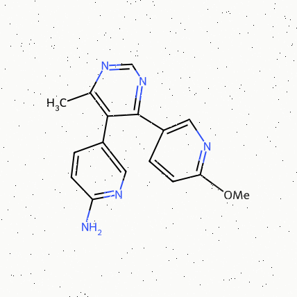 COc1ccc(-c2ncnc(C)c2-c2ccc(N)nc2)cn1